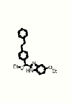 CCOc1ccc2[nH]c(C(OCC)c3ccc(CCc4ccccc4)cc3)nc2c1